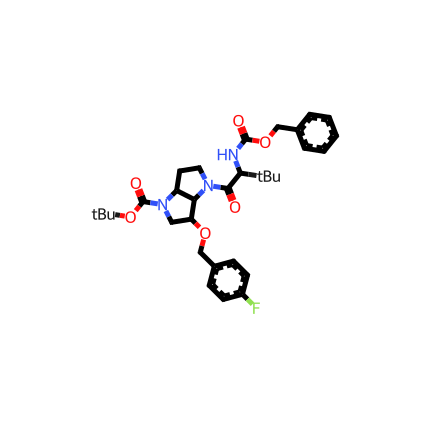 CC(C)(C)OC(=O)N1CC(OCc2ccc(F)cc2)C2C1CCN2C(=O)C(NC(=O)OCc1ccccc1)C(C)(C)C